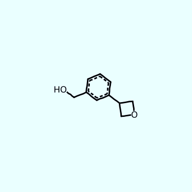 OCc1cccc(C2COC2)c1